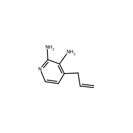 C=CCc1ccnc(N)c1N